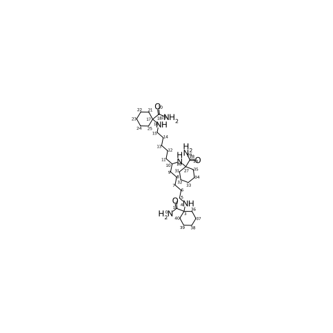 NC(=O)C1(NCCCCCC(CCCCCNC2(C(N)=O)CCCCC2)NC2(C(N)=O)CCCCC2)CCCCC1